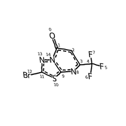 O=c1cc(C(F)(F)F)nc2sc(Br)nn12